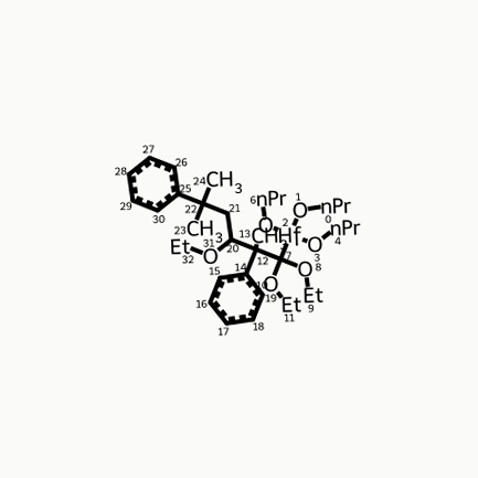 CCC[O][Hf]([O]CCC)([O]CCC)[C](OCC)(OCC)C(C)(c1ccccc1)C(CC(C)(C)c1ccccc1)OCC